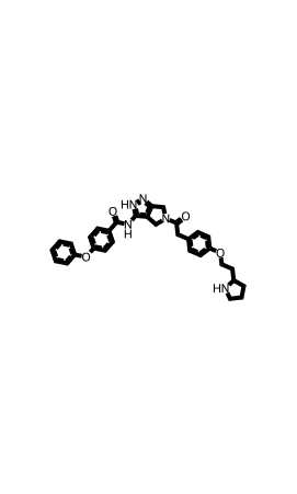 O=C(Nc1[nH]nc2c1CN(C(=O)Cc1ccc(OCCC3CCCN3)cc1)C2)c1ccc(Oc2ccccc2)cc1